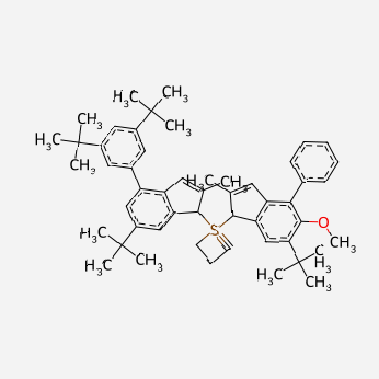 COc1c(C(C)(C)C)cc2c(c1-c1ccccc1)C=C(C)C2S1(C2C(C)=Cc3c(-c4cc(C(C)(C)C)cc(C(C)(C)C)c4)cc(C(C)(C)C)cc32)#CCC1